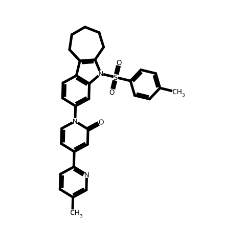 Cc1ccc(S(=O)(=O)n2c3c(c4ccc(-n5ccc(-c6ccc(C)cn6)cc5=O)cc42)CCCCC3)cc1